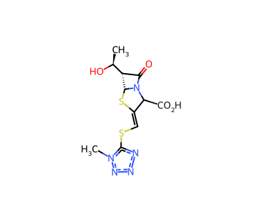 C[C@H](O)[C@@H]1C(=O)N2C(C(=O)O)C(=CSc3nnnn3C)SC12